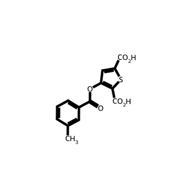 Cc1cccc(C(=O)Oc2cc(C(=O)O)sc2C(=O)O)c1